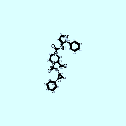 O=C(Nc1ccnn1-c1ccccc1)N1CCN2C(=O)N([C@H]3C[C@@H]3c3ccccc3)C(=O)C2C1